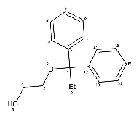 CCC(OCCO)(c1ccccc1)c1ccccc1